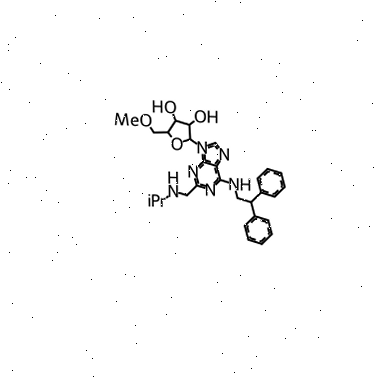 COCC1OC(n2cnc3c(NCC(c4ccccc4)c4ccccc4)nc(CNC(C)C)nc32)C(O)C1O